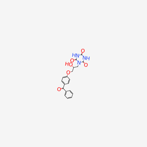 O=C(c1ccccc1)c1ccc(OCC(O)Cn2c(=O)[nH]c(=O)[nH]c2=O)cc1